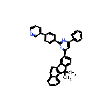 CC1(C)c2ccc(-c3cc(-c4ccccc4)nc(-c4ccc(-c5cccnc5)cc4)n3)cc2-c2ccc3ccccc3c21